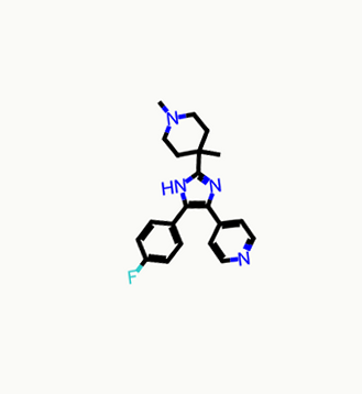 CN1CCC(C)(c2nc(-c3ccncc3)c(-c3ccc(F)cc3)[nH]2)CC1